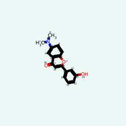 CN(C)c1ccc2oc(-c3cccc(O)c3)cc(=O)c2c1